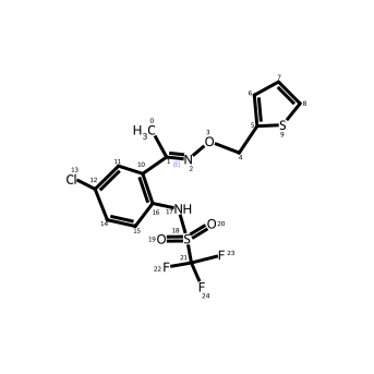 C/C(=N\OCc1cccs1)c1cc(Cl)ccc1NS(=O)(=O)C(F)(F)F